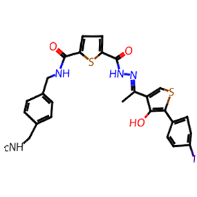 CC(=O)NCc1ccc(CNC(=O)c2ccc(C(=O)N/N=C(\C)c3csc(-c4ccc(I)cc4)c3O)s2)cc1